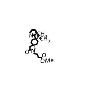 COC(=O)CCCN1C[C@]2(CC[C@@](c3ccccn3)(N(C)C)CC2)CC1=O